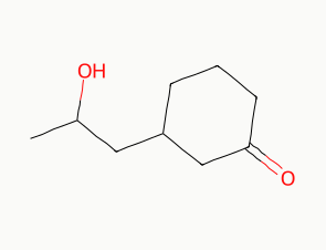 CC(O)CC1CCCC(=O)C1